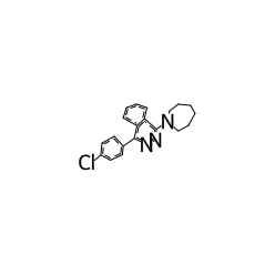 Clc1ccc(-c2nnc(N3CCCCCC3)c3ccccc23)cc1